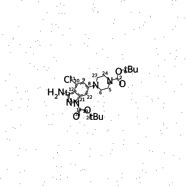 CC(C)(C)OC(=O)N1CCN(c2cc(Cl)c3c(N)nn(C(=O)OC(C)(C)C)c3c2)CC1